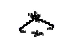 CCCCCCCC/C=C\CCCCCCCC(=O)C(C)(C(=O)CCCCCCC/C=C\CCCCCCCC)C(C)(O)CN.COS(=O)(=O)O